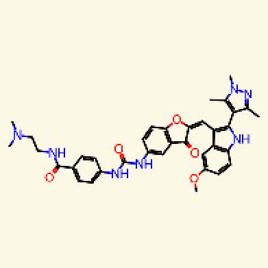 COc1ccc2[nH]c(-c3c(C)nn(C)c3C)c(C=C3Oc4ccc(NC(=O)Nc5ccc(C(=O)NCCN(C)C)cc5)cc4C3=O)c2c1